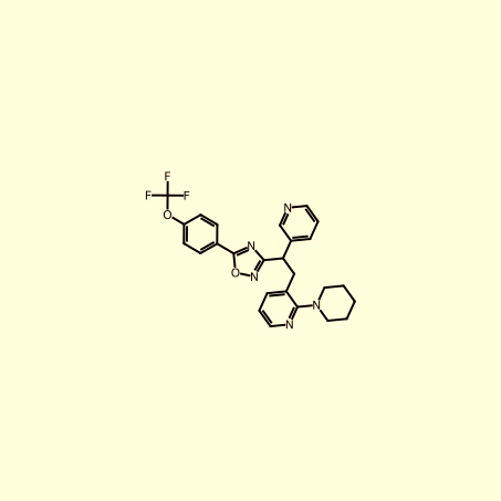 FC(F)(F)Oc1ccc(-c2nc(C(Cc3cccnc3N3CCCCC3)c3cccnc3)no2)cc1